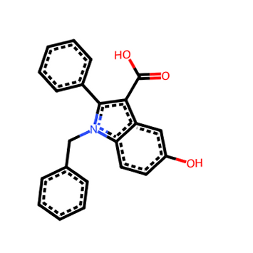 O=C(O)c1c(-c2ccccc2)n(Cc2ccccc2)c2ccc(O)cc12